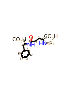 CC(C)(C)N[C@@H](CCC(=O)N[C@H](Cc1ccccc1)C(=O)O)C(=O)O